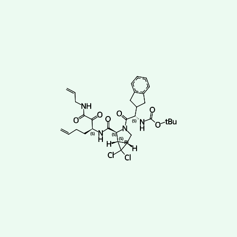 C=CCC[C@H](NC(=O)[C@@H]1[C@@H]2[C@H](CN1C(=O)[C@@H](NC(=O)OC(C)(C)C)C1Cc3ccccc3C1)C2(Cl)Cl)C(=O)C(=O)NCC=C